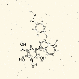 CCOc1ccc(Cc2cn([C@@H]3O[C@H](CO)[C@@H](O)[C@H](O)[C@H]3O)c3cccc(C)c23)cc1